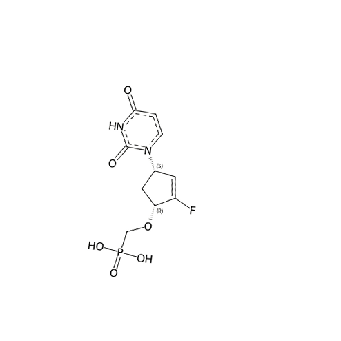 O=c1ccn([C@@H]2C=C(F)[C@H](OCP(=O)(O)O)C2)c(=O)[nH]1